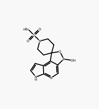 CCCCS(=O)(=O)N1CCC2(CC1)OB(O)c1cnc3[nH]ccc3c12